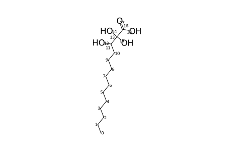 CCCCCCCCCCCC(O)C(O)(O)C(=O)O